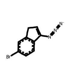 [N-]=[N+]=NC1=CCc2cc(Br)ccc21